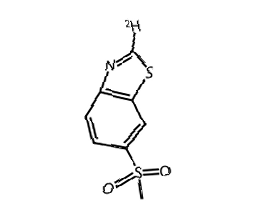 [2H]c1nc2ccc(S(C)(=O)=O)cc2s1